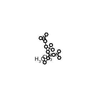 CC1(C)c2ccccc2-c2ccc(N(c3ccc(N(c4ccccc4)c4ccccc4)cc3)c3ccc4c(c3)C(c3ccccc3)(c3ccccc3)c3cc(-c5ccc6c(c5)c5ccccc5n6-c5ccccc5)ccc3-4)cc21